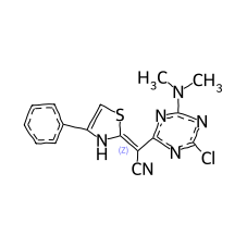 CN(C)c1nc(Cl)nc(/C(C#N)=C2/NC(c3ccccc3)=CS2)n1